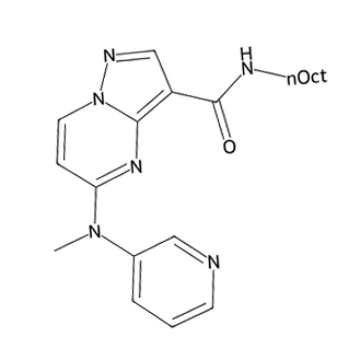 CCCCCCCCNC(=O)c1cnn2ccc(N(C)c3cccnc3)nc12